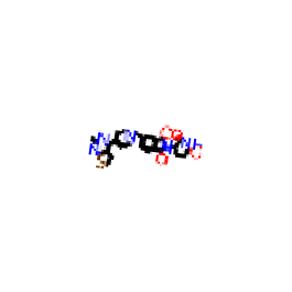 Cc1nc(C2=CCN(Cc3ccc4c(c3)C(=O)N(C3CCC(=O)NC3=O)C4=O)CC2)c2ccsc2n1